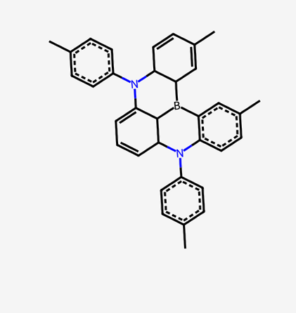 CC1=CC2B3c4cc(C)ccc4N(c4ccc(C)cc4)C4C=CC=C(C34)N(c3ccc(C)cc3)C2C=C1